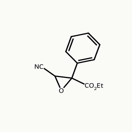 CCOC(=O)C1(c2ccccc2)OC1C#N